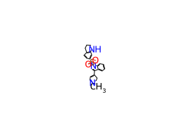 CN1CC=C(c2cn(S(=O)(=O)c3ccc4c(c3)NCCC4)c3ccccc23)CC1